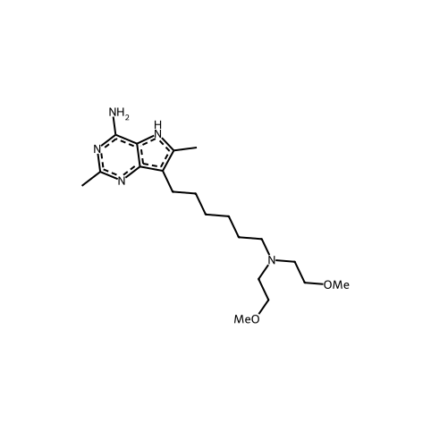 COCCN(CCCCCCc1c(C)[nH]c2c(N)nc(C)nc12)CCOC